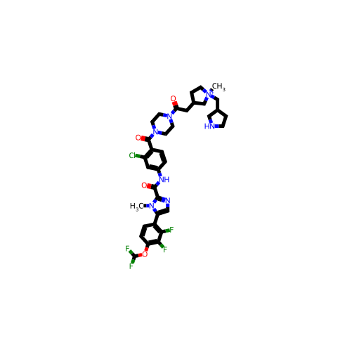 Cn1c(-c2ccc(OC(F)F)c(F)c2F)cnc1C(=O)Nc1ccc(C(=O)N2CCN(C(=O)CC3CC[N+](C)(CC4CCNC4)C3)CC2)c(Cl)c1